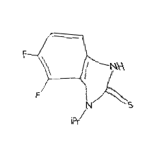 CC(C)n1c(=S)[nH]c2ccc(F)c(F)c21